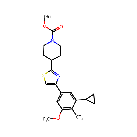 CC(C)(C)OC(=O)N1CCC(c2nc(-c3cc(OC(F)(F)F)c(C(F)(F)F)c(C4CC4)c3)cs2)CC1